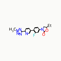 CCC1CN(c2ccc(-c3ccc(-c4nnn(C)n4)nc3)c(F)c2)C(=O)O1